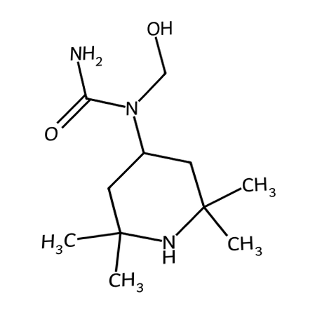 CC1(C)CC(N(CO)C(N)=O)CC(C)(C)N1